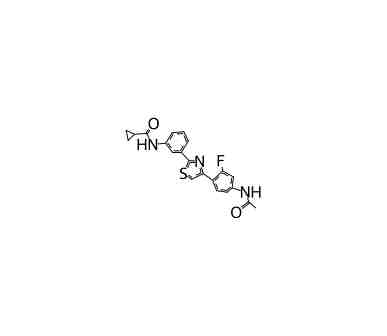 CC(=O)Nc1ccc(-c2csc(-c3cccc(NC(=O)C4CC4)c3)n2)c(F)c1